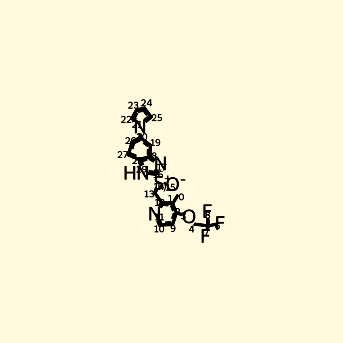 Cc1c(OCC(F)(F)F)ccnc1C[S@+]([O-])c1nc2cc(-n3cccc3)ccc2[nH]1